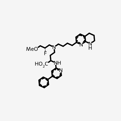 COC[C@@H](F)CN(CCCCc1ccc2c(n1)NCCC2)CCC(Nc1cc(-c2ccccc2)ccn1)C(=O)O